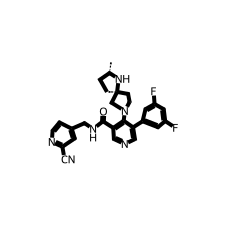 C[C@H]1CC[C@@]2(CCN(c3c(C(=O)NCc4ccnc(C#N)c4)cncc3-c3cc(F)cc(F)c3)C2)N1